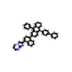 c1ccc(-c2ccc(-c3c4ccccc4c(-c4ccccc4)c4cc(-c5ccc(-c6cn7cccnc7n6)c6ccccc56)ccc34)cc2)cc1